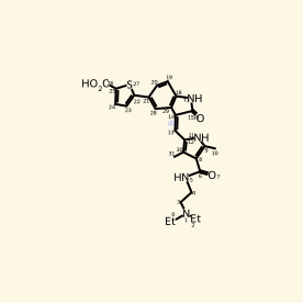 CCN(CC)CCNC(=O)c1c(C)[nH]c(/C=C2\C(=O)Nc3ccc(-c4ccc(C(=O)O)s4)cc32)c1C